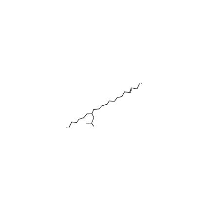 [CH2]CC=CCCCCCCCCCC(CCCCC[CH2])CC(C)C